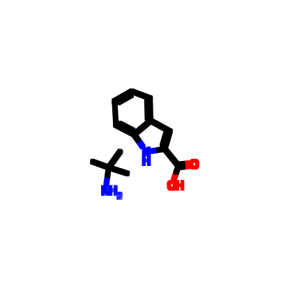 CC(C)(C)N.O=C(O)c1cc2ccccc2[nH]1